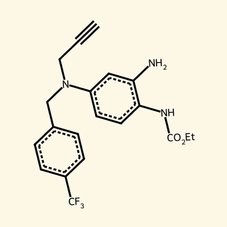 C#CCN(Cc1ccc(C(F)(F)F)cc1)c1ccc(NC(=O)OCC)c(N)c1